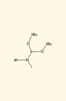 CC(C)N(C)P(OC(C)(C)C)OC(C)(C)C